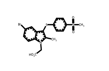 Cc1c(Sc2ccc(S(C)(=O)=O)cc2)c2cc(Br)ccc2n1CC(=O)O